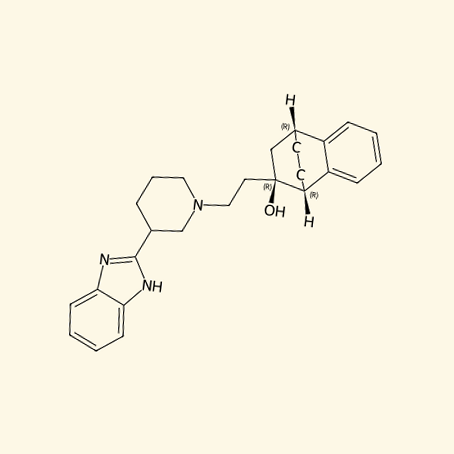 O[C@@]1(CCN2CCCC(c3nc4ccccc4[nH]3)C2)C[C@H]2CC[C@@H]1c1ccccc12